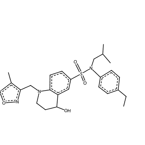 CCc1ccc(N(CC(C)C)S(=O)(=O)c2ccc3c(c2)C(O)CCN3Cc2nonc2C)cc1